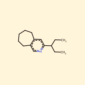 CCC(CC)c1cc2c(cn1)CCCCC2